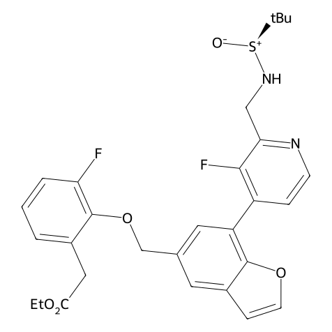 CCOC(=O)Cc1cccc(F)c1OCc1cc(-c2ccnc(CN[S@@+]([O-])C(C)(C)C)c2F)c2occc2c1